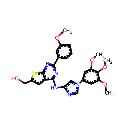 COc1cccc(-c2nc(Nc3cn(-c4cc(OC)c(OC)c(OC)c4)cn3)c3cc(CO)sc3n2)c1